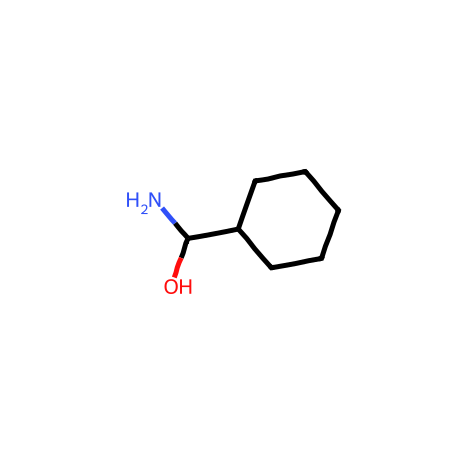 N[C](O)C1CCCCC1